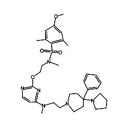 COc1cc(C)c(S(=O)(=O)N(C)CCOc2nccc(N(C)CCN3CCC(c4ccccc4)(N4CCCC4)CC3)n2)c(C)c1